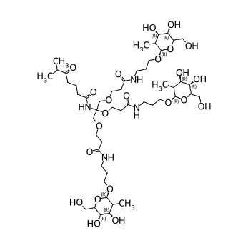 CC(C)C(=O)CCCC(=O)NC(COCCC(=O)NCCCO[C@@H]1OC(CO)[C@H](O)[C@H](O)C1C)(COCCC(=O)NCCCO[C@@H]1OC(CO)[C@H](O)[C@H](O)C1C)OCCC(=O)NCCCO[C@@H]1OC(CO)[C@H](O)[C@H](O)C1C